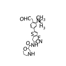 CN(C)c1cc(-c2cc(F)c(CC(C#N)NC(=O)C3CNCCCO3)s2)ccc1CC=O